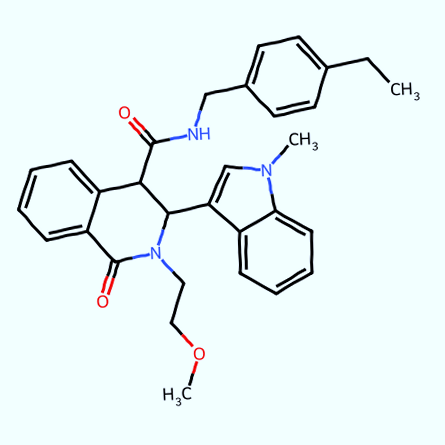 CCc1ccc(CNC(=O)C2c3ccccc3C(=O)N(CCOC)C2c2cn(C)c3ccccc23)cc1